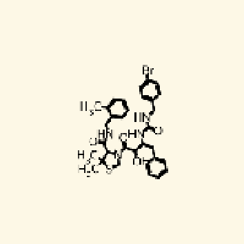 Cc1ccccc1CNC(=O)C1N(C(=O)C(O)C(Cc2ccccc2)NC(=O)NCc2ccc(Br)cc2)CSC1(C)C